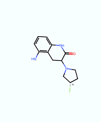 [NH]c1cccc2c1CC(N1CC[C@H](F)C1)C(=O)N2